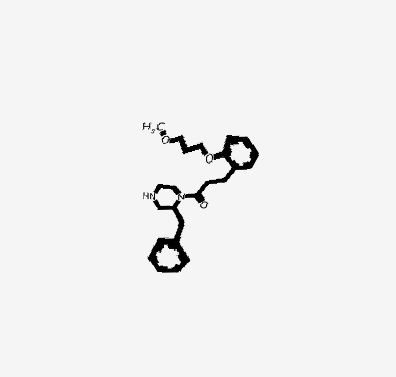 COCCCOc1ccccc1CCC(=O)N1CCNCC1Cc1ccccc1